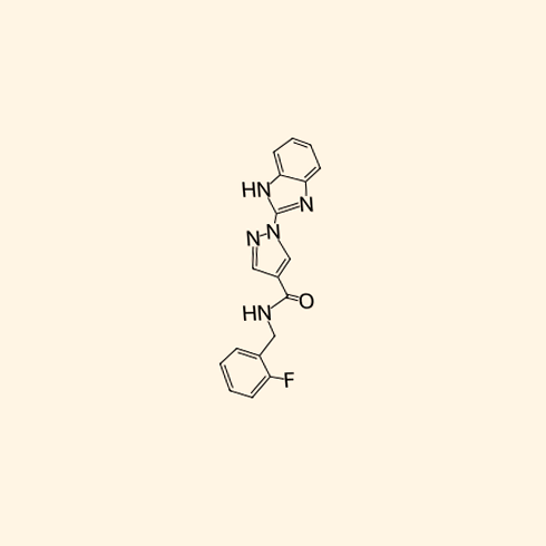 O=C(NCc1ccccc1F)c1cnn(-c2nc3ccccc3[nH]2)c1